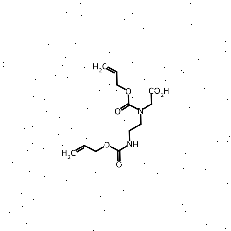 C=CCOC(=O)NCCN(CC(=O)O)C(=O)OCC=C